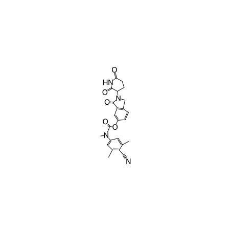 Cc1cc(N(C)C(=O)Oc2ccc3c(c2)C(=O)N(C2CCC(=O)NC2=O)C3)cc(C)c1C#N